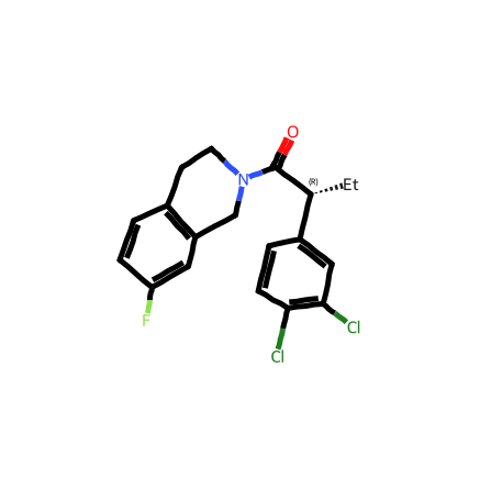 [CH2]C[C@@H](C(=O)N1CCc2ccc(F)cc2C1)c1ccc(Cl)c(Cl)c1